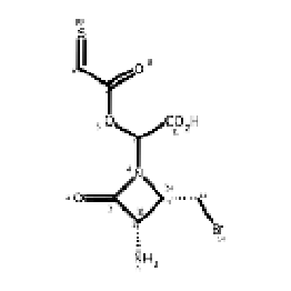 N[C@@H]1C(=O)N(C(OC(=O)C=S)C(=O)O)[C@@H]1CBr